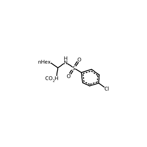 CCCCCCC(NS(=O)(=O)c1ccc(Cl)cc1)C(=O)O